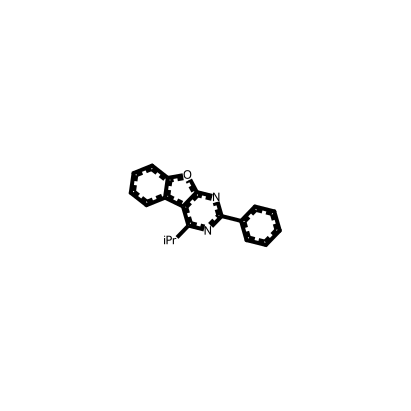 CC(C)c1nc(-c2ccccc2)nc2oc3ccccc3c12